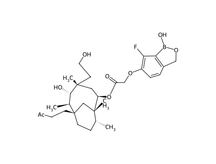 CC(=O)CC[C@]12CC[C@@H](C)[C@](C)(C1)[C@H](OC(=O)COc1ccc3c(c1F)B(O)OC3)C[C@@](C)(CCO)[C@@H](O)[C@@H]2C